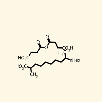 CCCCCCC(C)CCCCCCC(C)C(=O)O.O=C(O)CCC(=O)OC(=O)CCC(=O)O